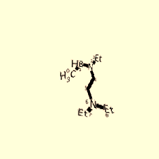 CBN(CC)CCN(CC)CC